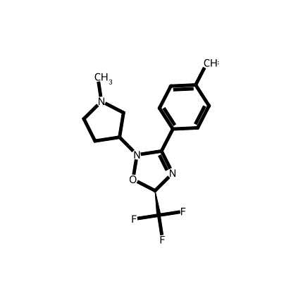 [CH]c1ccc(C2=N[C@@H](C(F)(F)F)ON2C2CCN(C)C2)cc1